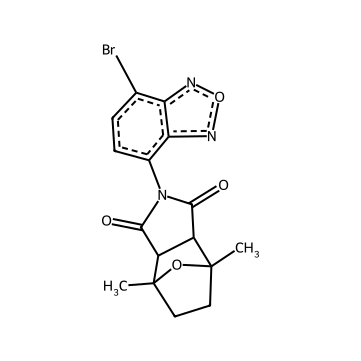 CC12CCC(C)(O1)C1C(=O)N(c3ccc(Br)c4nonc34)C(=O)C12